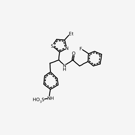 CCc1csc(C(Cc2ccc(NS(=O)(=O)O)cc2)NC(=O)Cc2ccccc2F)n1